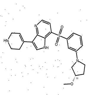 CO[C@H]1CCN(c2cccc(S(=O)(=O)c3ccnc4c(C5=CCNCC5)c[nH]c34)c2)C1